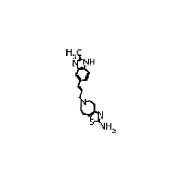 Cc1nc2cc(C=CCN3CCc4nc(N)sc4CC3)ccc2[nH]1